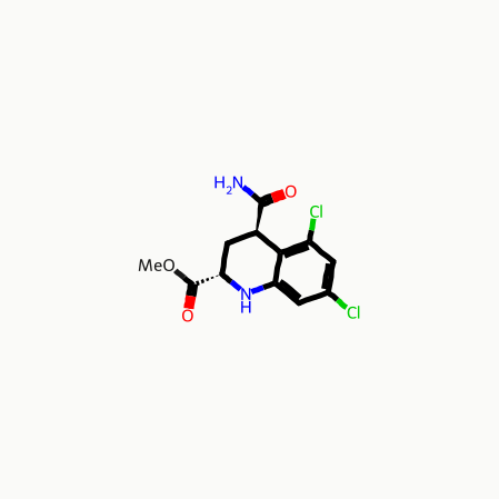 COC(=O)[C@@H]1C[C@@H](C(N)=O)c2c(Cl)cc(Cl)cc2N1